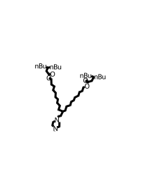 CCCCC(CCCC)CC(=O)OCCCCCCCCCCC(CCCCCCCCCCOC(=O)CC(CCCC)CCCC)CCN1CCN(C)CC1